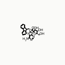 Nc1ncnc2c1ncn2[C@]1(C(=O)OCC2c3ccccc3-c3ccccc32)O[C@H](CO)[C@@H](O)[C@H]1O